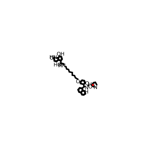 O=C(NC(c1cccc(OCCCCCCCCCNC[C@@H](O)c2ccc(O)c3[nH]c(=O)ccc23)c1)c1cccc2ccccc12)O[C@H]1CN2CCC1CC2